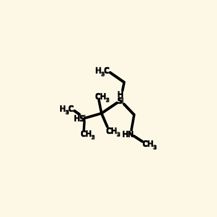 CC[SiH](CNC)C(C)(C)[SiH](C)C